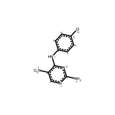 Nc1ncc([N+](=O)[O-])c(Nc2ccc(Cl)cc2)n1